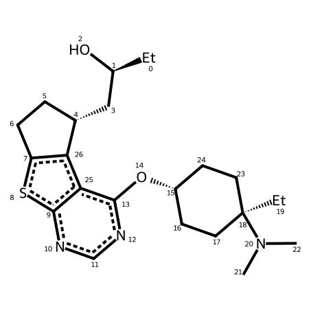 CC[C@H](O)C[C@H]1CCc2sc3ncnc(O[C@H]4CC[C@](CC)(N(C)C)CC4)c3c21